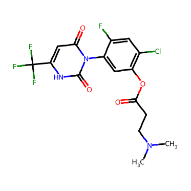 CN(C)CCC(=O)Oc1cc(-n2c(=O)cc(C(F)(F)F)[nH]c2=O)c(F)cc1Cl